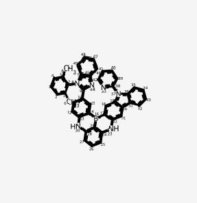 Cc1cccc(C)c1-n1c(-c2ccc3c(c2)B2c4cc5c(cc4Nc4cccc(c42)N3)c2ccccc2n5-c2ccccn2)nc2ccccc21